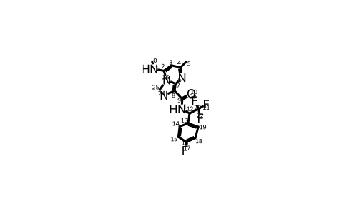 CNc1cc(C)nc2c(C(=O)NC(c3ccc(F)cc3)C(F)(F)F)ncn12